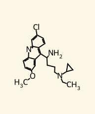 CCN(CCCC(N)c1c2ccc(Cl)cc2nc2ccc(OC)cc12)C1CC1